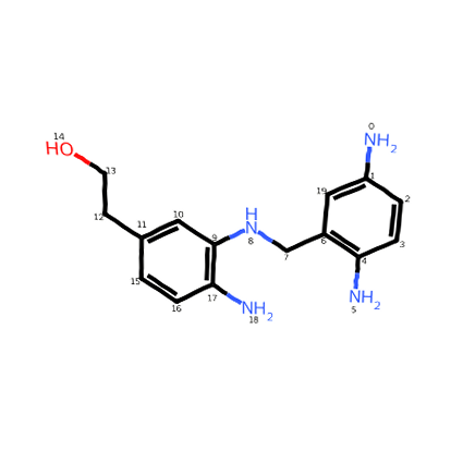 Nc1ccc(N)c(CNc2cc(CCO)ccc2N)c1